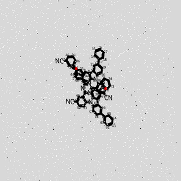 C=CC(=C)c1ccc2c(c1)c1cc(-c3ccccc3)ccc1n2-c1ccc(C#N)cc1-c1nc(-c2ccc(-c3cccc(C#N)c3)cc2)nc(-c2cc(C#N)ccc2-n2c3ccc(-c4ccccc4)cc3c3cc(-c4ccccc4)ccc32)n1